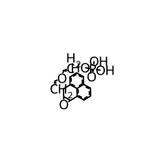 C=COC=C.O=P(O)(O)O.c1cc2c3c(cccc3c1)C1OC1C2